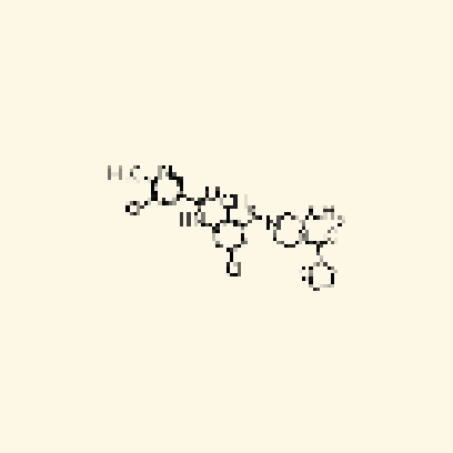 Cc1ncc(C(=O)Nc2cc(Cl)cc(CN3CCN(C(=O)C4CCCO4)C(C)C3)c2C)cc1Cl